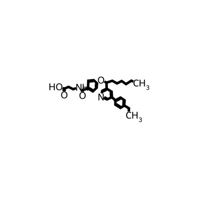 CCCCCCC(Oc1ccc(C(=O)NCCC(=O)O)cc1)c1cncc(-c2ccc(CC)cc2)c1